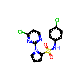 O=S(=O)(Nc1ccc(Cl)cc1)c1cccn1-c1nccc(Cl)n1